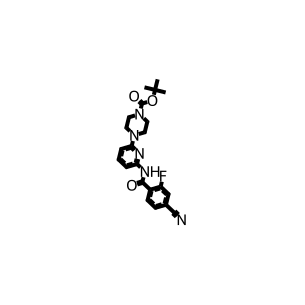 CC(C)(C)OC(=O)N1CCN(c2cccc(NC(=O)c3ccc(C#N)cc3F)n2)CC1